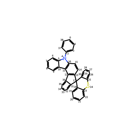 c1ccc(-n2c3ccccc3c3c4c(ccc32)C2(c3ccccc3Sc3ccccc32)c2ccccc2-4)cc1